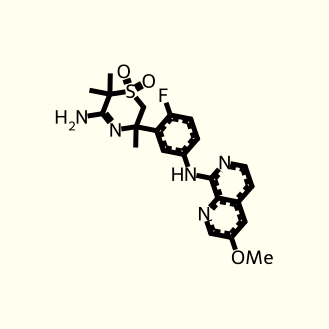 COc1cnc2c(Nc3ccc(F)c(C4(C)CS(=O)(=O)C(C)(C)C(N)=N4)c3)nccc2c1